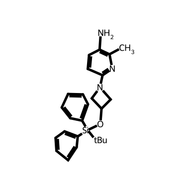 Cc1nc(N2CC(O[Si](c3ccccc3)(c3ccccc3)C(C)(C)C)C2)ccc1N